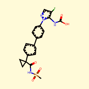 CS(=O)(=O)NC(=O)C1(c2ccc(-c3ccc(-n4ncc(F)c4NC(=O)O)cc3)cc2)CC1